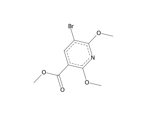 COC(=O)c1cc(Br)c(OC)nc1OC